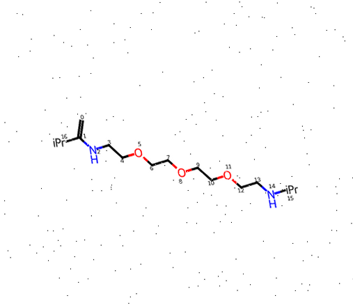 C=C(NCCOCCOCCOCCNC(C)C)C(C)C